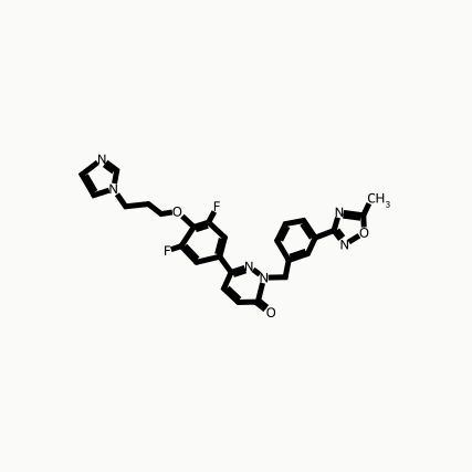 Cc1nc(-c2cccc(Cn3nc(-c4cc(F)c(OCCCn5ccnc5)c(F)c4)ccc3=O)c2)no1